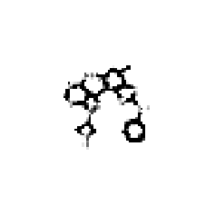 Cc1cc(C)c2oc(Nc3ccccc3)nc2c1-c1nn(C2CNC2)c2ncnc(N)c12